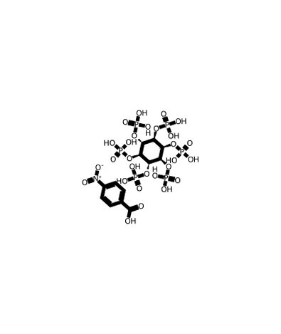 O=C(O)c1ccc([N+](=O)[O-])cc1.O=P(O)(O)O[C@H]1[C@H](OP(=O)(O)O)[C@@H](OP(=O)(O)O)[C@H](OP(=O)(O)O)[C@@H](OP(=O)(O)O)[C@H]1OP(=O)(O)O